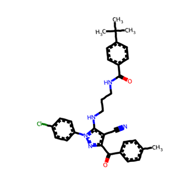 Cc1ccc(C(=O)c2nn(-c3ccc(Cl)cc3)c(NCCCNC(=O)c3ccc(C(C)(C)C)cc3)c2C#N)cc1